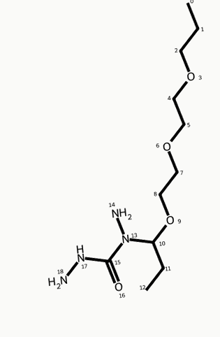 CCCOCCOCCOC(CC)N(N)C(=O)NN